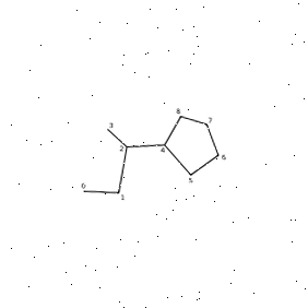 CCC(C)C1CCCC1